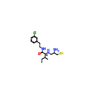 CCC(C)[C@H](NCC(N)CS)C(=O)NCCc1cccc(Cl)c1